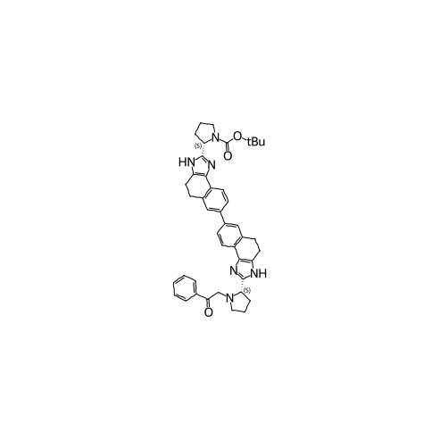 CC(C)(C)OC(=O)N1CCC[C@H]1c1nc2c([nH]1)CCc1cc(-c3ccc4c(c3)CCc3[nH]c([C@@H]5CCCN5CC(=O)c5ccccc5)nc3-4)ccc1-2